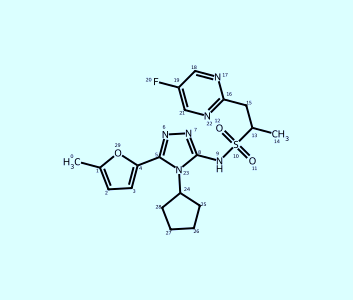 Cc1ccc(-c2nnc(NS(=O)(=O)C(C)Cc3ncc(F)cn3)n2C2CCCC2)o1